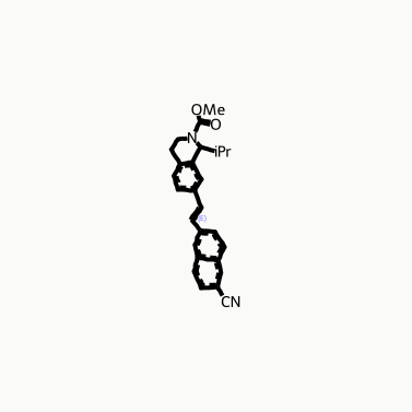 COC(=O)N1CCc2ccc(/C=C/c3ccc4cc(C#N)ccc4c3)cc2C1C(C)C